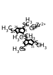 CSC1=CC2=C([Si](C)(C)C3=C4C=C(SC)C=C4C(SC)=C3)C=C(SC)C2=C1.[Cl-].[Cl-].[Zr+2]